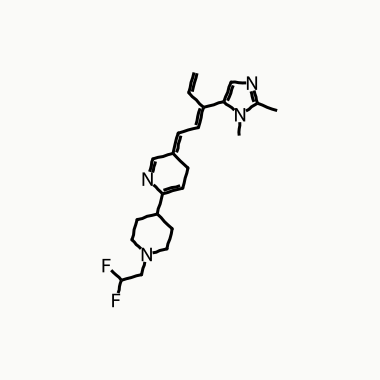 C=C/C(=C\C=C1\C=NC(C2CCN(CC(F)F)CC2)=CC1)c1cnc(C)n1C